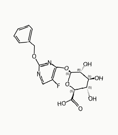 O=C(O)[C@H]1O[C@@H](Oc2nc(OCc3ccccc3)ncc2F)[C@H](O)[C@@H](O)[C@@H]1O